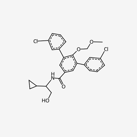 COCOc1c(-c2cccc(Cl)c2)cc(C(=O)NC(CO)C2CC2)cc1-c1cccc(Cl)c1